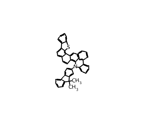 CC1(C)c2ccccc2-c2ccc(N(c3ccccc3-c3ccccc3)c3cccc4c3ccc3ccc5c6ccccc6sc5c34)cc21